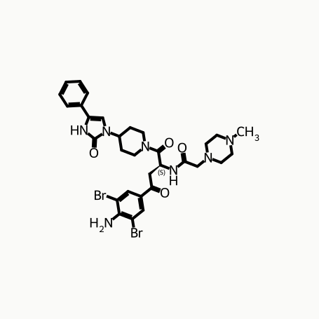 CN1CCN(CC(=O)N[C@@H](CC(=O)c2cc(Br)c(N)c(Br)c2)C(=O)N2CCC(n3cc(-c4ccccc4)[nH]c3=O)CC2)CC1